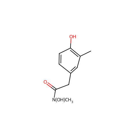 Cc1cc(CC(=O)N(C)O)ccc1O